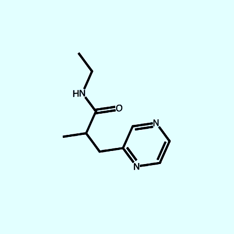 CCNC(=O)C(C)Cc1cnccn1